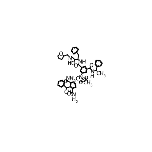 CC(NC(=O)c1cc(C(=O)NC(Cc2ccccc2)C(O)CNCC2CCCO2)cc(N(C)S(C)(=O)=O)c1)c1ccccc1.CC(c1ccccc1)c1c(C(N)=O)cccc1C(N)=O